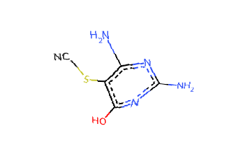 N#CSc1c(N)nc(N)nc1O